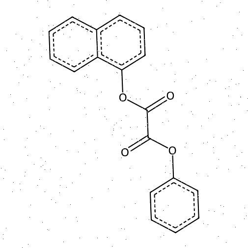 O=C(Oc1ccccc1)C(=O)Oc1cccc2ccccc12